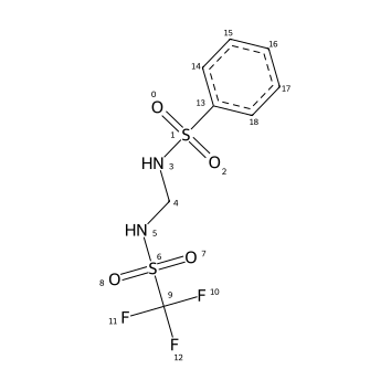 O=S(=O)(NCNS(=O)(=O)C(F)(F)F)c1ccccc1